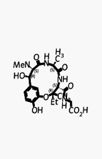 CC[C@@]1(C)Oc2cc(ccc2O)[C@@H](O)[C@H](NC)C(=O)N[C@@H](C)C(=O)N[C@@H]1C(=O)NCC(=O)O